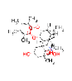 C=C1C[C@]23C[C@H](O)[C@@]4(O)C56C[C@@H](O)C[C@@]4(C)CN(C)[C@@H]5[C@@H]2[C@H]1[C@@H](OC(=O)/C(C)=C/C)[C@@H](OC(=O)/C(C)=C/C)[C@@H]63